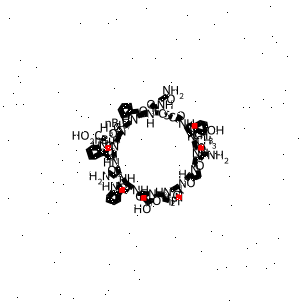 CCCC[C@H]1C(=O)N(C)[C@@H](CCCC)C(=O)N[C@@H](Cc2ccccc2)C(=O)N[C@H](C(=O)NCC(N)=O)CSCC(=O)N[C@@H](Cc2ccc(O)cc2)C(=O)N(C)[C@@H](C)C(=O)N[C@@H](CC(N)=O)C(=O)N2CCCC2C(=O)N[C@@H](CN)C(=O)N[C@@H](CC(C)C)C(=O)N2C[C@H](O)C[C@H]2C(=O)N[C@@H](Cc2c[nH]c3ccccc23)C(=O)N[C@@H](CCN)C(=O)N[C@@H](Cc2cn(CC(=O)O)c3ccccc23)C(=O)N1C